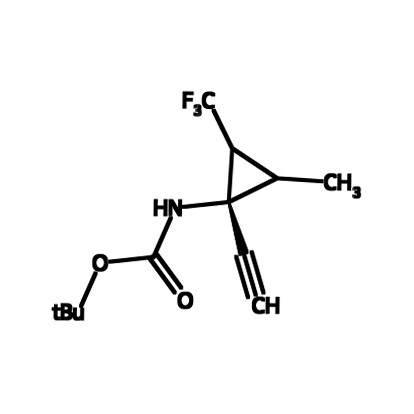 C#C[C@]1(NC(=O)OC(C)(C)C)C(C)C1C(F)(F)F